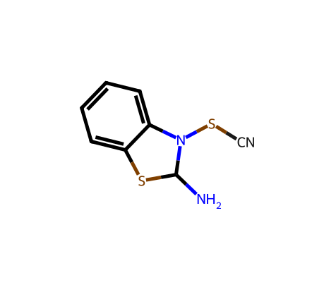 N#CSN1c2ccccc2SC1N